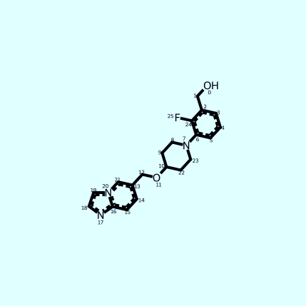 OCc1cccc(N2CCC(OCc3ccc4nccn4c3)CC2)c1F